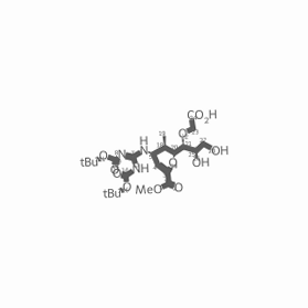 COC(=O)C1=C[C@H](N/C(=N/C(=O)OC(C)(C)C)NC(=O)OC(C)(C)C)[C@@H](C)[C@H]([C@H](OCC(=O)O)[C@H](O)CO)O1